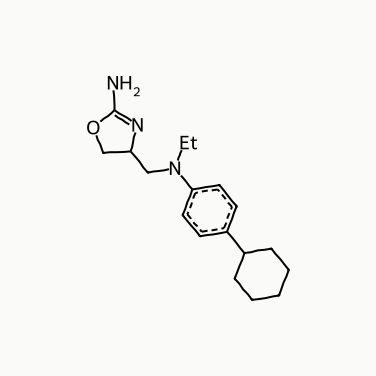 CCN(CC1COC(N)=N1)c1ccc(C2CCCCC2)cc1